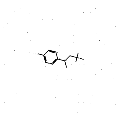 CCC(C)c1ccc(C(C)CC(C)(CC)C(=O)O)cc1